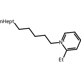 CCCCCCCCCCCC[n+]1ccccc1CC